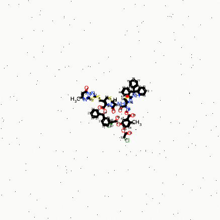 Cc1cc(=O)n2nc(SCC3=C(C(=O)OC(c4ccccc4)c4ccccc4)N4C(=O)[C@@H](NC(=O)/C(=N\OC(=O)c5cc(OC(=O)CCl)c(OC(=O)CCl)cc5C)c5csc(NC(c6ccccc6)(c6ccccc6)c6ccccc6)n5)[C@H]4SC3)sc2n1